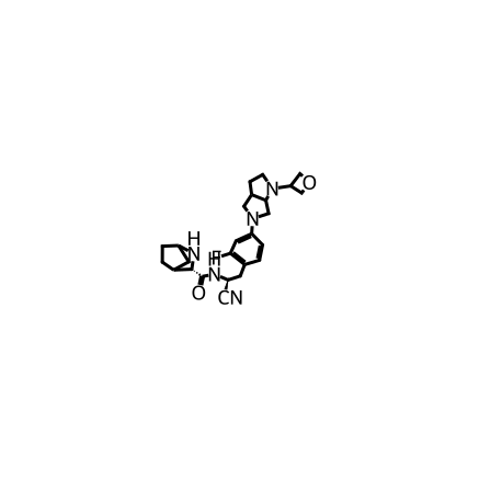 N#C[C@H](Cc1ccc(N2CC3CCN(C4COC4)C3C2)cc1F)NC(=O)[C@H]1NC2CCC1C2